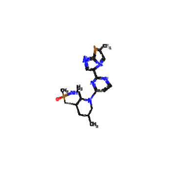 CC1CC(CS(C)(=N)=O)C(C)N(c2ccnc(-c3cnc4sc(C(F)(F)F)cn34)n2)C1